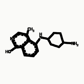 Cc1cnc(O)c2cccc(NC3CCC(N)CC3)c12